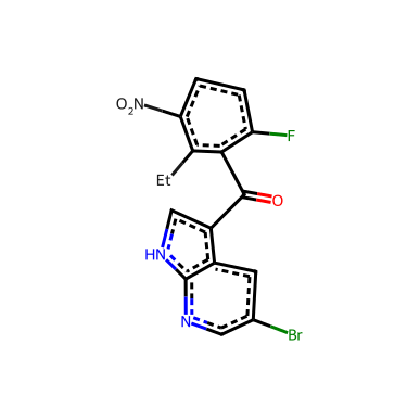 CCc1c([N+](=O)[O-])ccc(F)c1C(=O)c1c[nH]c2ncc(Br)cc12